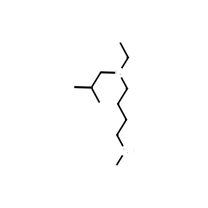 CCN(CCCCNC)CC(C)C